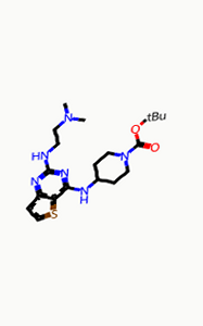 CN(C)CCNc1nc(NC2CCN(C(=O)OC(C)(C)C)CC2)c2sccc2n1